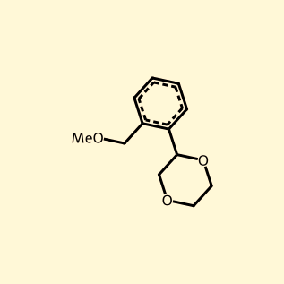 COCc1ccccc1C1COCCO1